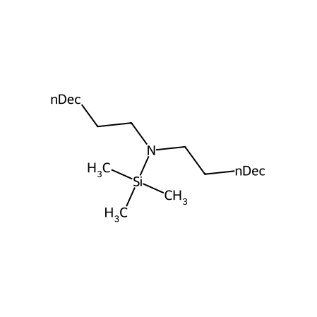 CCCCCCCCCCCCN(CCCCCCCCCCCC)[Si](C)(C)C